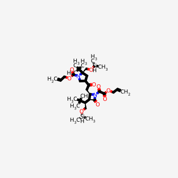 C=CCOC(=O)C(=O)N1C(=O)[C@@H]([C@@H](CO[SiH](C)C)C(C)(C)C)[C@H]1CC(=O)C1CN(C(=O)OCC=C)[C@](CO[SiH](C)C)(C(C)(C)C)C1